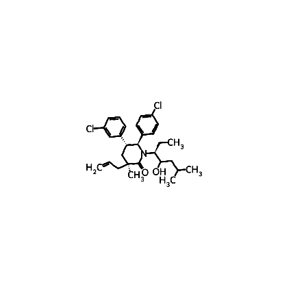 C=CC[C@@]1(C)C[C@H](c2cccc(Cl)c2)[C@@H](c2ccc(Cl)cc2)N([C@@H](CC)C(O)CC(C)C)C1=O